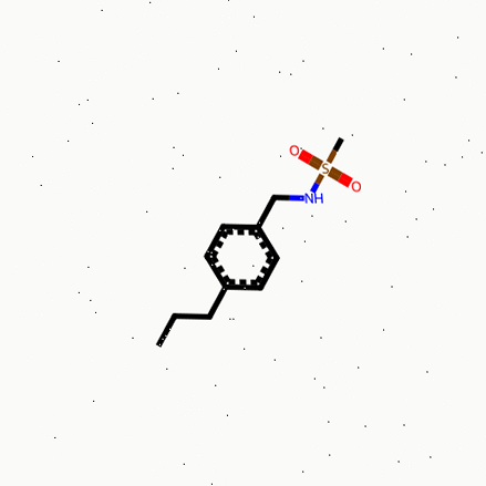 CCCc1ccc(CNS(C)(=O)=O)cc1